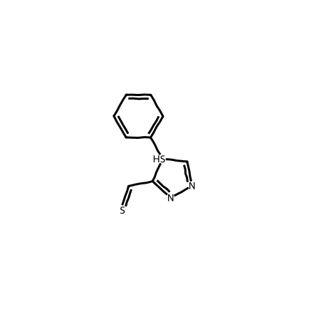 S=CC1=NN=C[SH]1c1ccccc1